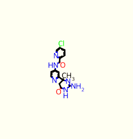 CC1(c2cc(NC(=O)c3ccc(Cl)cn3)ccn2)CC(=O)NC(N)=N1